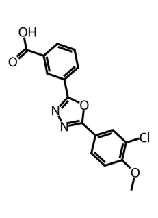 COc1ccc(-c2nnc(-c3cccc(C(=O)O)c3)o2)cc1Cl